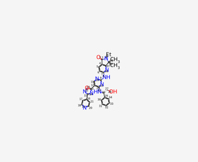 CCN1C(=O)c2ccc(Nc3ncc(-c4nc(-c5ccncc5)no4)c(N[C@H](CO)c4ccccc4)n3)nc2C1(C)C